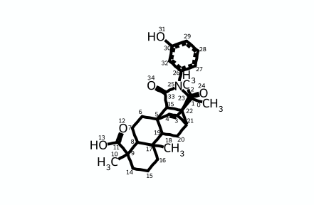 CC(C)C1=CC23CCC4C(C)(C(=O)O)CCCC4(C)C2CC1C1C(=O)N(c2cccc(O)c2)C(=O)C13